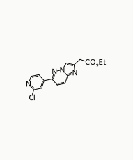 CCOC(=O)Cc1cn2nc(-c3ccnc(Cl)c3)ccc2n1